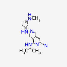 CN[C@@H]1CC[C@H](Nc2cc3c(NC(C)C)nc(C#N)cc3cn2)C1